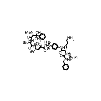 CCCC(=O)N[C@@H](Cc1ccccc1)C(=O)N[C@@H](CCCCN)C(=O)Nc1ccc(S(=O)(=O)NC(=O)/C(C)=C/[C@H](C(C)C)N(C)C(=O)C(NC(=O)[C@@H](NC)C(C)(C)c2ccccc2)C(C)(C)C)cc1